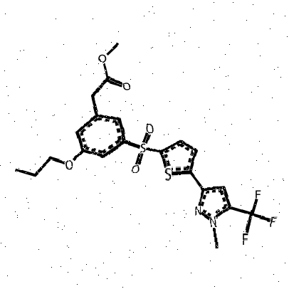 CCCOc1cc(CC(=O)OC)cc(S(=O)(=O)c2ccc(-c3cc(C(F)(F)F)n(C)n3)s2)c1